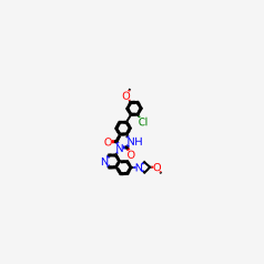 COc1ccc(Cl)c(-c2ccc3c(=O)n(-c4cncc5ccc(N6CC(OC)C6)cc45)c(=O)[nH]c3c2)c1